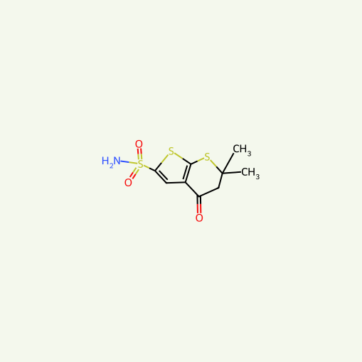 CC1(C)CC(=O)c2cc(S(N)(=O)=O)sc2S1